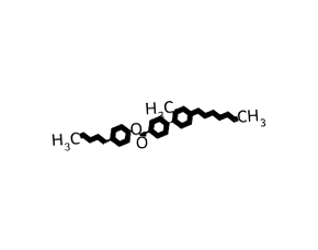 CCCCCCCC1CCC([C@H]2CC[C@H](C(=O)O[C@H]3CC[C@H](CCCCC)CC3)CC2)C(C)C1